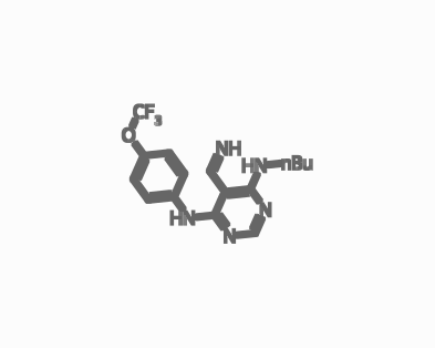 CCCCNc1ncnc(Nc2ccc(OC(F)(F)F)cc2)c1C=N